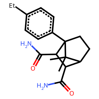 CCc1ccc(C23CCC(C(C(N)=O)C2C(N)=O)C3(C)C)cc1